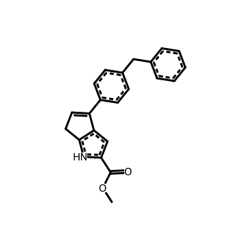 COC(=O)c1cc2c([nH]1)CC=C2c1ccc(Cc2ccccc2)cc1